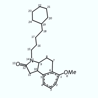 COc1cccc2c1CCC1C2CC(=O)N1CCCCC1CCCCC1